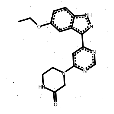 CCOc1ccc2[nH]nc(-c3cc(N4CCNC(=O)C4)ncn3)c2c1